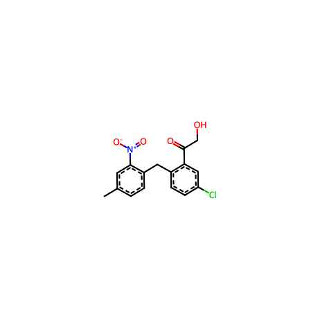 Cc1ccc(Cc2ccc(Cl)cc2C(=O)CO)c([N+](=O)[O-])c1